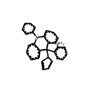 Nc1ccccc1C1(C2C=CC=C2)c2ccccc2N(c2ccccc2)c2ccccc21